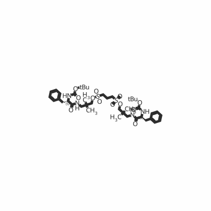 CC(C)(CNC(=O)[C@H](Cc1ccccc1)NC(=O)OC(C)(C)C)COS(=O)(=O)CCCS(=O)(=O)OCC(C)(C)CNC(=O)[C@H](Cc1ccccc1)NC(=O)OC(C)(C)C